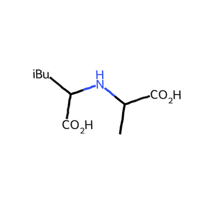 CCC(C)C(NC(C)C(=O)O)C(=O)O